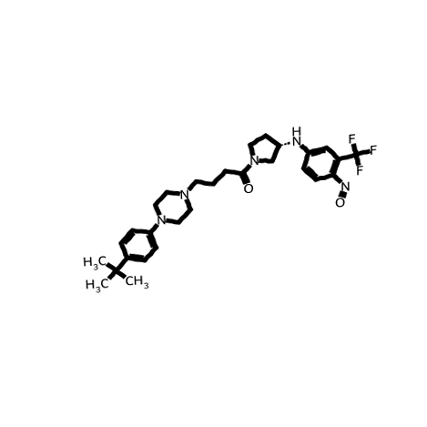 CC(C)(C)c1ccc(N2CCN(CCCC(=O)N3CC[C@H](Nc4ccc(N=O)c(C(F)(F)F)c4)C3)CC2)cc1